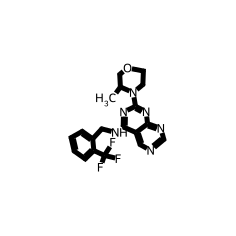 CC1COCCN1c1nc(NCc2ccccc2C(F)(F)F)c2cncnc2n1